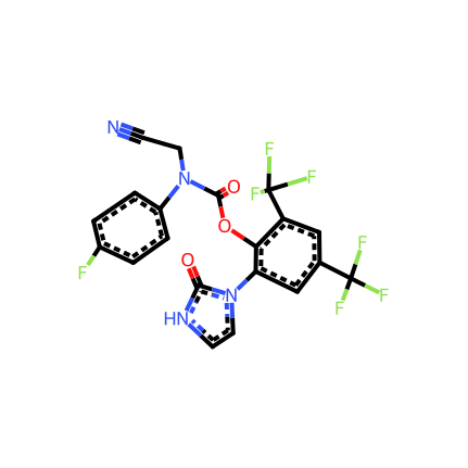 N#CCN(C(=O)Oc1c(-n2cc[nH]c2=O)cc(C(F)(F)F)cc1C(F)(F)F)c1ccc(F)cc1